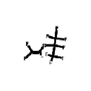 FC(F)=C(F)OC(F)(C(F)(F)F)C(F)(F)F